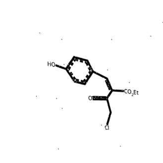 CCOC(=O)C(=Cc1ccc(O)cc1)C(=O)CCl